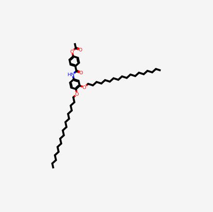 CCCCCCCCCCCCCCCCCCOc1ccc(NC(=O)c2ccc(OC(C)=O)cc2)cc1OCCCCCCCCCCCCCCCCCC